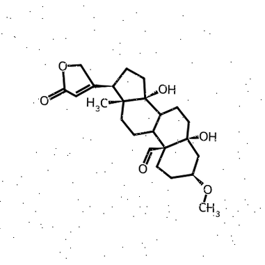 CO[C@H]1CC[C@]2(C=O)C3CC[C@]4(C)[C@@H](C5=CC(=O)OC5)CC[C@]4(O)C3CC[C@]2(O)C1